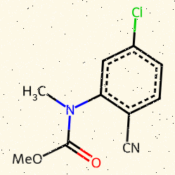 COC(=O)N(C)c1cc(Cl)ccc1C#N